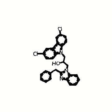 OC(Cn1c(Cc2ccccc2)nc2ccccc21)Cn1c2ccc(Cl)cc2c2cc(Cl)ccc21